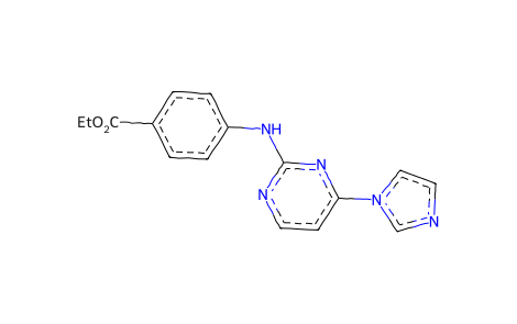 CCOC(=O)c1ccc(Nc2nccc(-n3ccnc3)n2)cc1